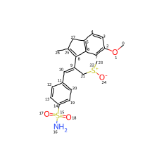 COc1ccc2c(c1)C(C(=Cc1ccc(S(N)(=O)=O)cc1)C[S+](C)[O-])=C(C)C2